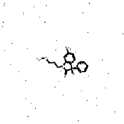 COCCCN1C(=O)C(Cl)(c2ccccc2)c2ccc(C)cc21